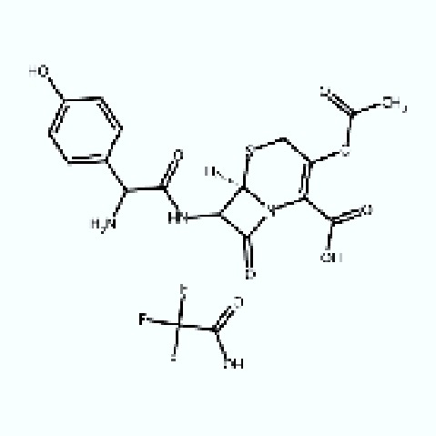 CC(=O)OC1=C(C(=O)O)N2C(=O)C(NC(=O)C(N)c3ccc(O)cc3)[C@H]2SC1.O=C(O)C(F)(F)F